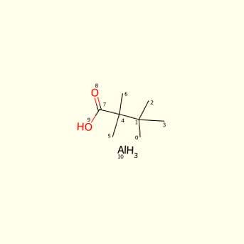 CC(C)(C)C(C)(C)C(=O)O.[AlH3]